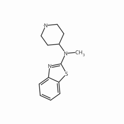 CN(c1nc2ccccc2s1)C1CC[N]CC1